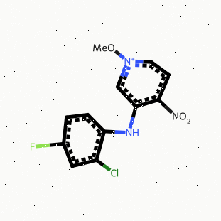 CO[n+]1ccc([N+](=O)[O-])c(Nc2ccc(F)cc2Cl)c1